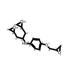 c1cc(OCC2CO2)ccc1NC(CC1CO1)CC1CO1